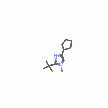 Cn1cc(C2CCCC2)nc1C(C)(C)C